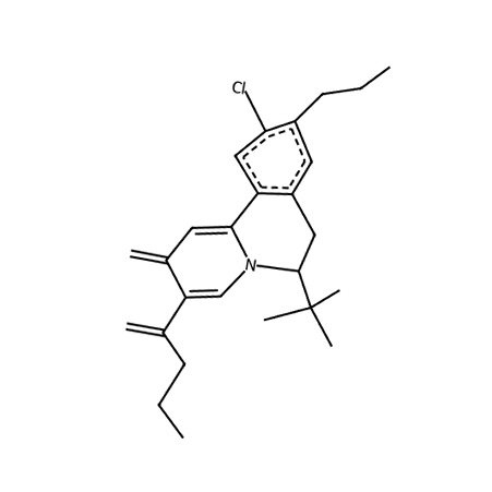 C=C1C=C2c3cc(Cl)c(CCC)cc3CC(C(C)(C)C)N2C=C1C(=C)CCC